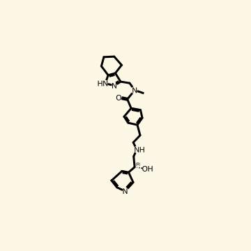 CN(Cc1n[nH]c2c1CCCC2)C(=O)c1ccc(CCNC[C@H](O)c2cccnc2)cc1